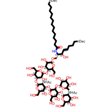 CCCCCCCCCCCCC/C=C/[C@@H](O)[C@H](CO[C@@H]1OC(CO)[C@@H](O[C@@H]2OC(CO)[C@H](O)[C@H](O[C@@H]3OC(CO)[C@@H](O)[C@H](O[C@@H]4OC(CO)[C@H](O)[C@H](O[C@H]5OC(CO)[C@H](O)[C@H](O)C5NC(C)=O)C4O[C@H]4OC(C)[C@@H](O)C(O)[C@@H]4O)C3NC(C)=O)C2O)[C@H](O)C1O)NC(=O)CCCCCCCCCCCCCCCCCCCCCCC